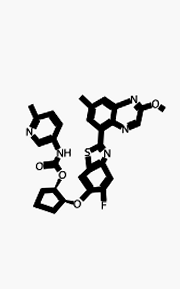 COc1cnc2c(-c3nc4cc(F)c(O[C@H]5CCC[C@H]5OC(=O)Nc5ccc(C)nc5)cc4s3)cc(C)cc2n1